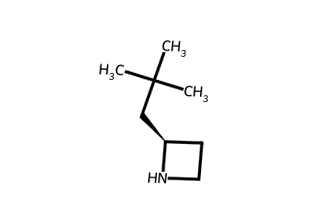 CC(C)(C)C[C@H]1CCN1